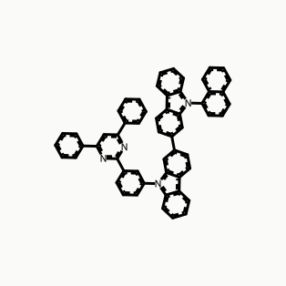 c1ccc(-c2cc(-c3ccccc3)nc(-c3cccc(-n4c5ccccc5c5ccc(-c6ccc7c8ccccc8n(-c8cccc9ccccc89)c7c6)cc54)c3)n2)cc1